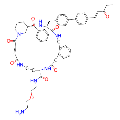 CCC(=O)/C=C/c1ccc(-c2ccc(C[C@@H]3NC(=O)[C@]4(Cc5ccccc5)CCCN(C4)C(=O)/C=C/C(=O)NCC[C@@H](C(=O)NCCOCCN)NC(=O)Cc4ccccc4CNC3=O)cc2)cc1